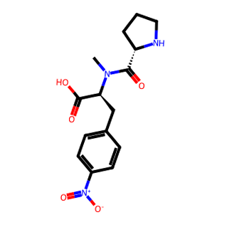 CN(C(=O)[C@@H]1CCCN1)[C@@H](Cc1ccc([N+](=O)[O-])cc1)C(=O)O